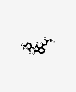 NC(=O)CC(Br)c1cccc2c1C(=O)N(C1CCC(=O)NC1=O)C2=O